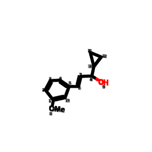 COc1cccc(/C=C/C(O)C2CC2)c1